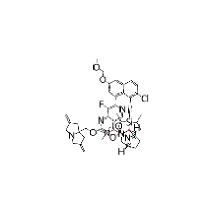 C=C1CN2CC(=C)CC2(COc2nc(N3C[C@H]4CC[C@@H](C3)N4C(=O)OC(C)(C)C)c3cnc(-c4cc(OCOC)cc5ccc(Cl)c(C#C[Si](C(C)C)(C(C)C)C(C)C)c45)c(F)c3n2)C1